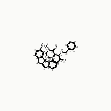 CN1CN(C23C(=Cc4ccccc42)Cc2ccc(F)cc23)n2ccc(=O)c(OCc3ccccc3)c2C1=O